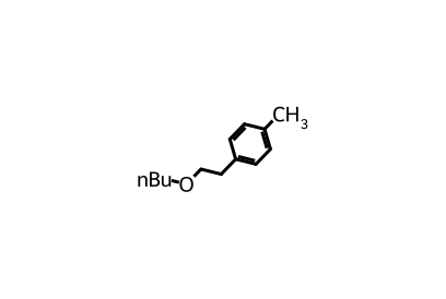 CCCCOCCc1ccc(C)cc1